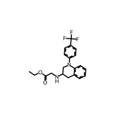 CCOC(=O)CNC1Cc2ccccc2N(c2ccc(C(F)(F)F)cc2)C1